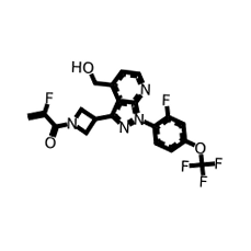 C=C(F)C(=O)N1CC(c2nn(-c3ccc(OC(F)(F)F)cc3F)c3nccc(CO)c23)C1